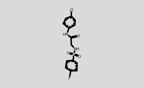 O=C(CNS(=O)(=O)c1ccc(F)cc1)Nc1ccc(Cl)cc1